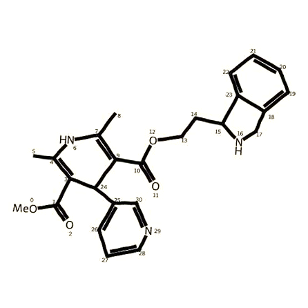 COC(=O)C1=C(C)NC(C)=C(C(=O)OCCC2NCc3ccccc32)C1c1cccnc1